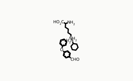 NC1CCCCC1.NCCCCC(N)C(=O)O.O=Cc1ccc(Oc2ccccc2)cc1